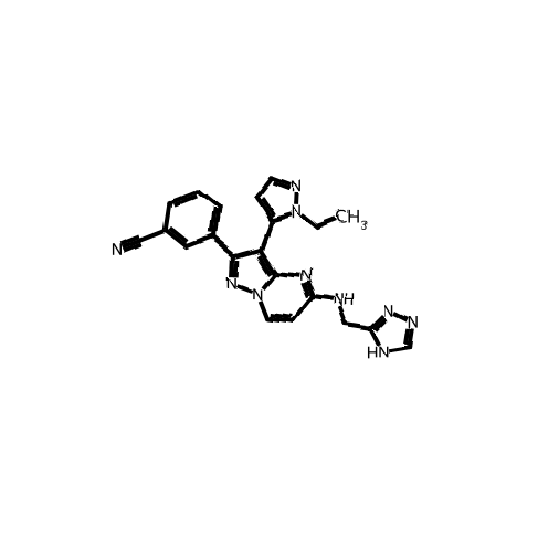 CCn1nccc1-c1c(-c2cccc(C#N)c2)nn2ccc(NCc3nnc[nH]3)nc12